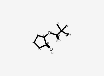 CCC(C)(C)C(=O)OC1CCCC1=O